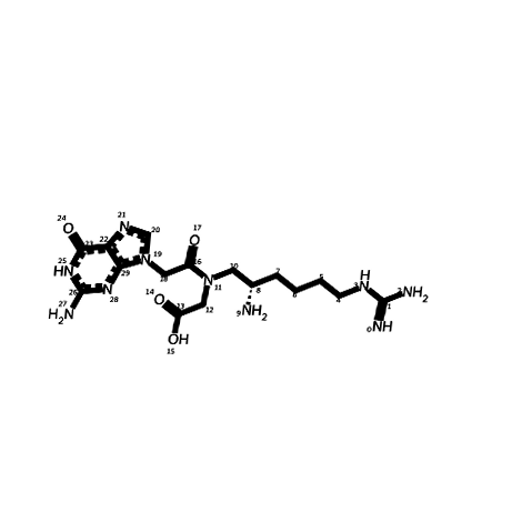 N=C(N)NCCCC[C@H](N)CN(CC(=O)O)C(=O)Cn1cnc2c(=O)[nH]c(N)nc21